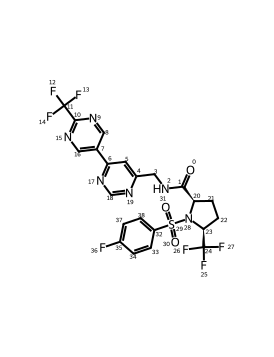 O=C(NCc1cc(-c2cnc(C(F)(F)F)nc2)ncn1)[C@H]1CC[C@@H](C(F)(F)F)N1S(=O)(=O)c1ccc(F)cc1